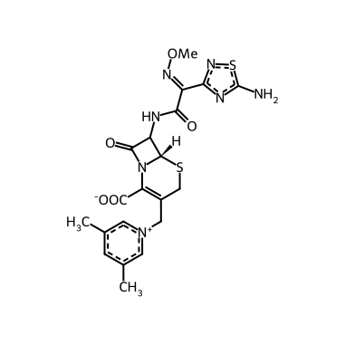 CON=C(C(=O)NC1C(=O)N2C(C(=O)[O-])=C(C[n+]3cc(C)cc(C)c3)CS[C@@H]12)c1nsc(N)n1